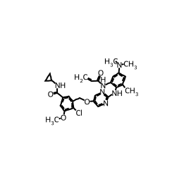 C=CC(=O)Nc1cc(N(C)C)cc(C)c1Nc1ncc(OCc2cc(C(=O)NC3CC3)cc(OC)c2Cl)cn1